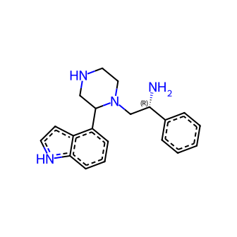 N[C@@H](CN1CCNCC1c1cccc2[nH]ccc12)c1ccccc1